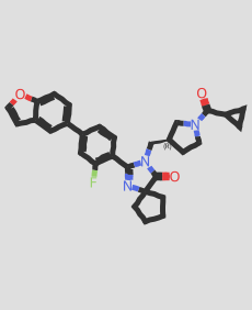 O=C(C1CC1)N1CC[C@@H](CN2C(=O)C3(CCCC3)N=C2c2ccc(-c3ccc4occc4c3)cc2F)C1